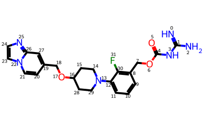 N=C(N)NC(=O)OCc1cccc(N2CCC(OCc3ccn4ccnc4c3)CC2)c1F